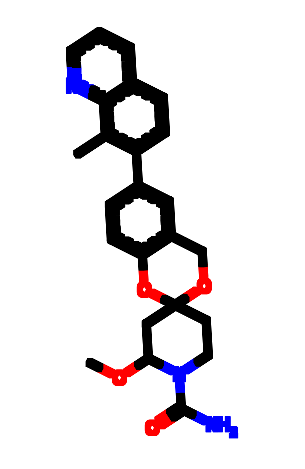 COC1CC2(CCN1C(N)=O)OCc1cc(-c3ccc4cccnc4c3C)ccc1O2